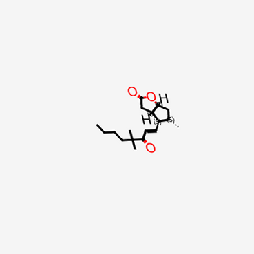 CCCCC(C)(C)C(=O)C=C[C@H]1[C@@H]2CC(=O)O[C@@H]2C[C@@H]1C